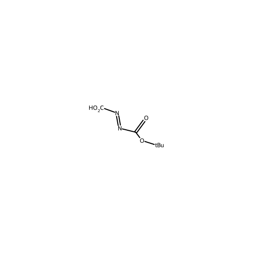 CC(C)(C)OC(=O)N=NC(=O)O